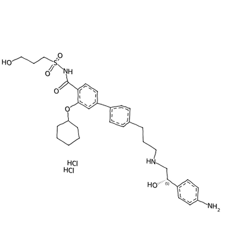 Cl.Cl.Nc1ccc([C@H](O)CNCCCc2ccc(-c3ccc(C(=O)NS(=O)(=O)CCCO)c(OC4CCCCC4)c3)cc2)cc1